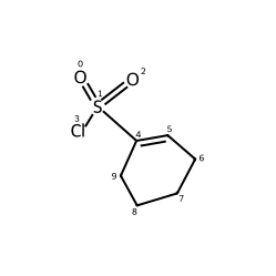 O=S(=O)(Cl)C1=CCCCC1